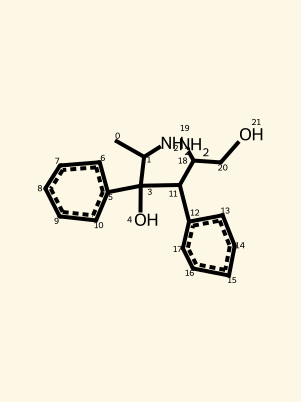 CC(N)C(O)(c1ccccc1)C(c1ccccc1)C(N)CO